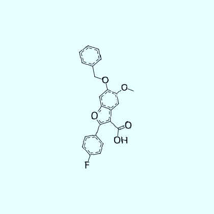 COc1cc2c(C(=O)O)c(-c3ccc(F)cc3)oc2cc1OCc1ccccc1